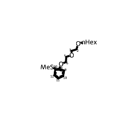 CCCCCCOCCOCCOc1ccccc1SC